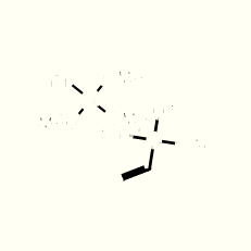 C=C[Si](OC(C)=O)(OC(C)=O)OC(C)=O.CCC[Si](OC)(OC)OC